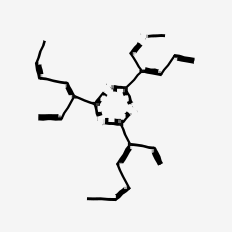 C=C/C=C(\C=N/C)c1nc(/C(C=C)=C/C=C\C)nc(/C(C=C)=C/C=C\C)n1